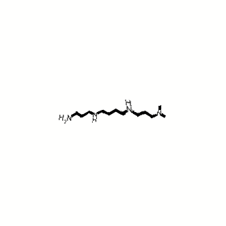 CN(C)CCCNCCCCNCCCN